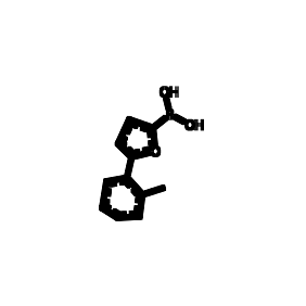 Cc1ccccc1-c1ccc(B(O)O)o1